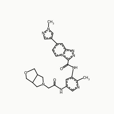 Cc1ncc(NC(=O)CN2CC3COCC3C2)cc1NC(=O)c1nnc2cc(-c3cnn(C)c3)ccn12